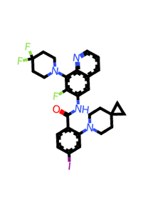 O=C(Nc1cc2cccnc2c(N2CCC(F)(F)CC2)c1F)c1ccc(I)cc1N1CCC2(CC1)CC2